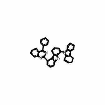 C1=Cc2c(c3ccccc3n2-c2cccc3c2oc2cccc(-c4nc(-c5ccccc5)c5ccccc5n4)c23)CC1